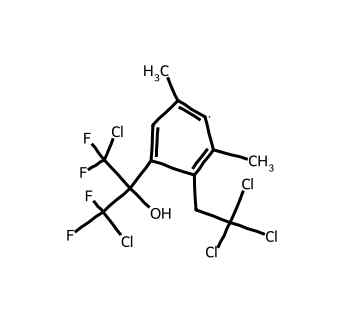 Cc1[c]c(C)c(CC(Cl)(Cl)Cl)c(C(O)(C(F)(F)Cl)C(F)(F)Cl)c1